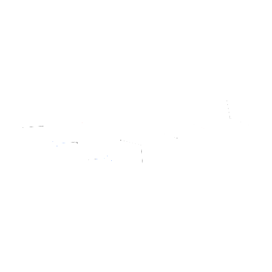 CC(C)NC(=O)CN1CCC(CCCOC(C)C)C1